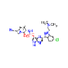 C[C@@H](NC(=O)Oc1c[nH]c2ncc(-c3nn(CCN(C)C)c4cc(Cl)ccc34)nc12)C(=O)N1CC(C#N)C1